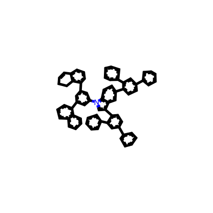 C1=Cc2cccc(-c3cc(-c4cccc5ccccc45)cc(-n4cc(-c5ccc(-c6ccccc6)cc5-c5ccccc5)c5cc(-c6ccc(-c7ccccc7)cc6-c6ccccc6)ccc54)c3)c2CC1